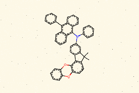 CC1(C)c2cc(N(c3ccccc3)c3c4ccccc4c(-c4ccccc4)c4ccccc34)ccc2-c2c1ccc1c2Oc2ccccc2O1